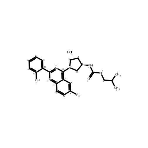 CC(C)COC(=O)N[C@@H]1CCN(c2nc(-c3ccccc3O)nc3ccc(F)cc23)C1.Cl